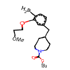 Bc1ccc(CC2CCN(C(=O)OC(C)(C)C)CC2)cc1OCCOC